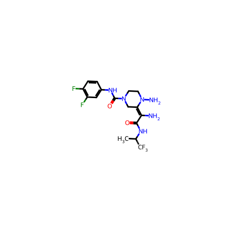 CC(NC(=O)/C(N)=C1\CN(C(=O)Nc2ccc(F)c(F)c2)CCN1N)C(F)(F)F